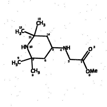 COC(=O)CNC1CC(C)(C)NC(C)(C)C1